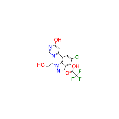 O=C(O)C(F)(F)F.OCCn1ncc2cc(Cl)cc(-c3cc(O)ncn3)c21